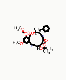 COCOc1cc(OC)cc2c1C(=O)O[C@@H](C)[C@@H](Cc1ccccc1)/C=C\C(=O)[C@H]1OC(C)(C)O[C@H]1C/C=C/2